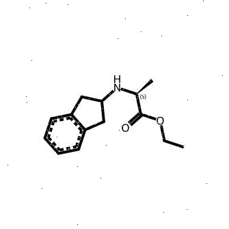 CCOC(=O)[C@H](C)NC1Cc2ccccc2C1